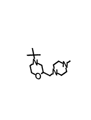 CN1CCN(CC2CN(C(C)(C)C)CCO2)CC1